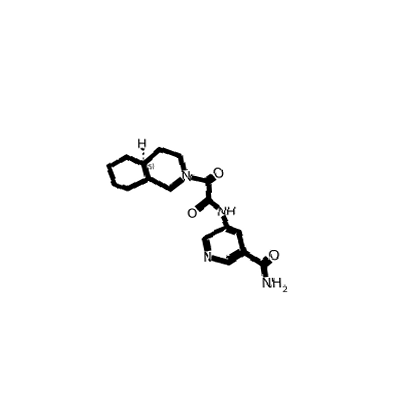 NC(=O)c1cncc(NC(=O)C(=O)N2CC[C@@H]3CCCCC3C2)c1